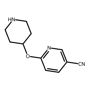 N#Cc1ccc(OC2CCNCC2)nc1